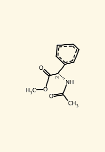 COC(=O)[C@@H](NC(C)=O)c1ccccc1